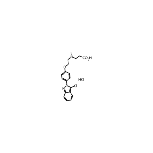 CN(CCOc1ccc(-n2nc3ccccc3c2Cl)cc1)CCC(=O)O.Cl